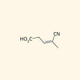 C/C(C#N)=C/CC(=O)O